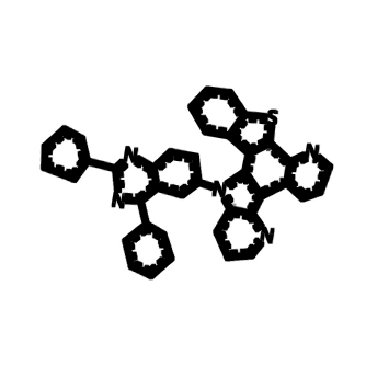 c1ccc(-c2nc(-c3ccccc3)c3cc(-n4c5cccnc5c5c6cccnc6c6sc7ccccc7c6c54)ccc3n2)cc1